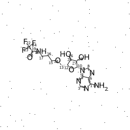 Nc1ncnc2c1ncn2[C@@H]1O[C@H](COCCCNC(=O)C(F)(F)F)[C@@H](O)[C@H]1O